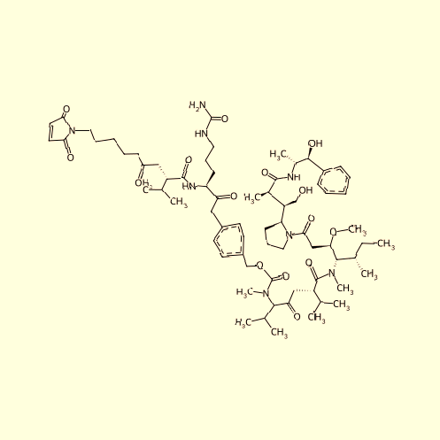 CC[C@H](C)[C@@H]([C@@H](CC(=O)N1CCC[C@H]1[C@H](CO)[C@@H](C)C(=O)N[C@H](C)[C@@H](O)c1ccccc1)OC)N(C)C(=O)[C@@H](CC(=O)C(C(C)C)N(C)C(=O)OCc1ccc(CC(=O)[C@H](CCCNC(N)=O)NC(=O)[C@@H](CC(=O)CCCCCN2C(=O)C=CC2=O)C(C)C)cc1)C(C)C